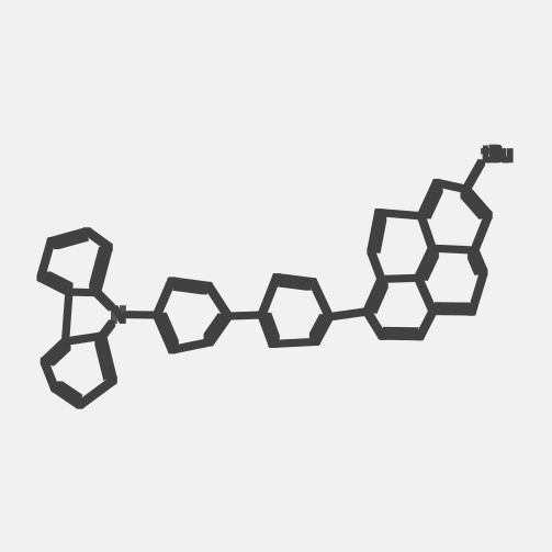 CC(C)(C)c1cc2ccc3ccc(-c4ccc(-c5ccc(-n6c7ccccc7c7ccccc76)cc5)cc4)c4ccc(c1)c2c34